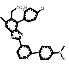 CC(=O)N(C)c1ccc(-c2cc(-c3nc4cc(C)c(CC(=O)O)c(-c5ccc(Cl)cc5)c4s3)ccn2)cc1